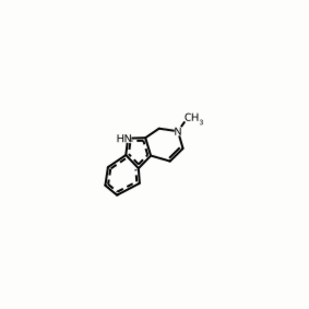 CN1C=Cc2c([nH]c3ccccc23)C1